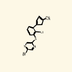 N#CC1=CC=C(c2cccc(Sc3cnc(Br)cn3)c2Cl)C1